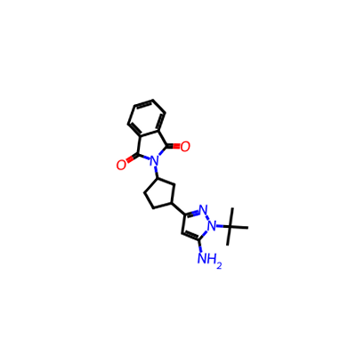 CC(C)(C)n1nc(C2CCC(N3C(=O)c4ccccc4C3=O)C2)cc1N